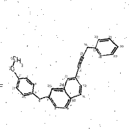 COc1ccc(Cc2ccc3ccc(C#CCc4ccccc4)cc3c2)cc1